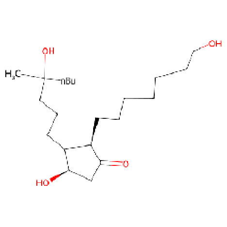 CCCCC(C)(O)CCCC1[C@H](O)CC(=O)[C@@H]1CCCCCCCO